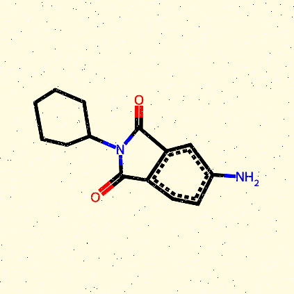 Nc1ccc2c(c1)C(=O)N(C1CCCCC1)C2=O